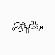 C=C[C@H](CC(=O)O)NC(=O)[C@@H]1CCCN2C(=O)CCCC(=O)N12